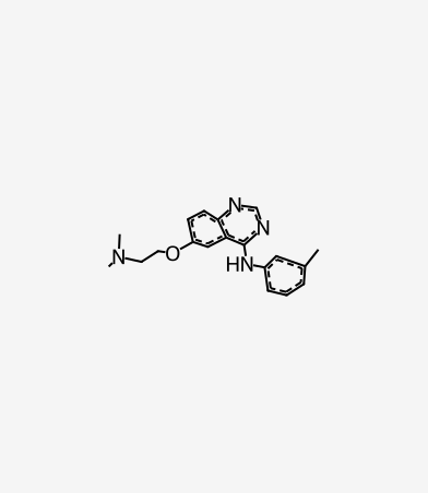 Cc1cccc(Nc2ncnc3ccc(OCCN(C)C)cc23)c1